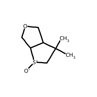 CC1(C)C[S+]([O-])C2COCC21